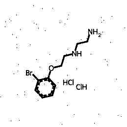 Cl.Cl.NCCNCCOc1ccccc1Br